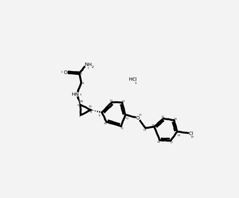 Cl.NC(=O)CN[C@@H]1C[C@H]1c1ccc(OCc2ccc(Cl)cc2)cc1